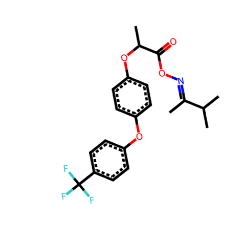 CC(=NOC(=O)C(C)Oc1ccc(Oc2ccc(C(F)(F)F)cc2)cc1)C(C)C